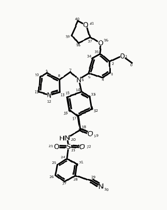 COc1ccc(N(Cc2cccnc2)c2ccc(C(=O)NS(=O)(=O)c3cccc(C#N)c3)cc2)cc1OC1CCCO1